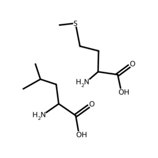 CC(C)CC(N)C(=O)O.CSCCC(N)C(=O)O